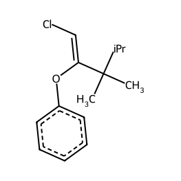 CC(C)C(C)(C)/C(=C/Cl)Oc1ccccc1